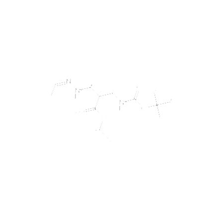 C/C=N\NCC(CNC(=O)OC(C)(C)C)C(=O)OCC